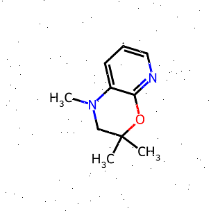 CN1CC(C)(C)Oc2nc[c]cc21